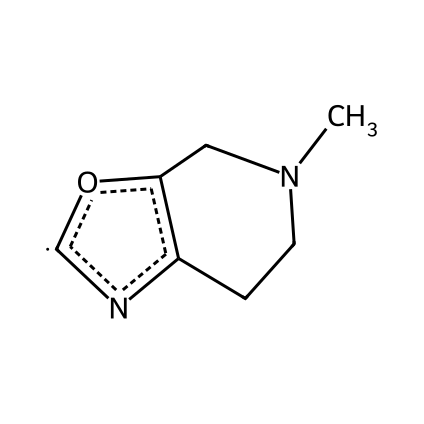 CN1CCc2n[c]oc2C1